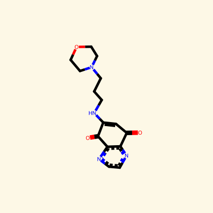 O=C1C=C(NCCCN2CCOCC2)C(=O)c2nccnc21